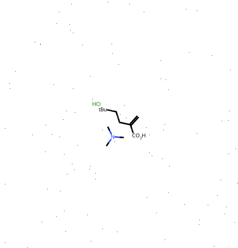 C=C(CCC(C)(C)C)C(=O)O.CN(C)C.Cl